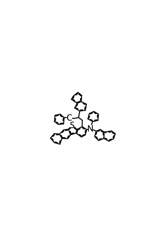 c1ccc(CCC(Cc2c(N(c3ccccc3)c3ccc4ccccc4c3)ccc3c2sc2cc4ccccc4cc23)c2ccc3ccccc3c2)cc1